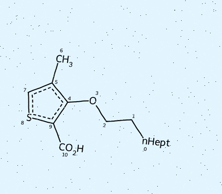 CCCCCCCCCOc1c(C)csc1C(=O)O